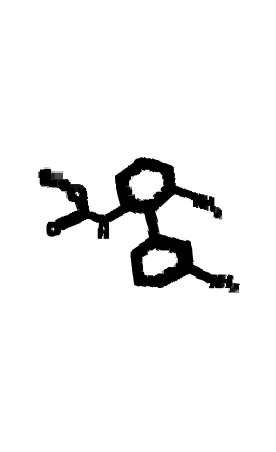 CC(C)(C)OC(=O)Nc1cccc(N)c1-c1cccc(N)c1